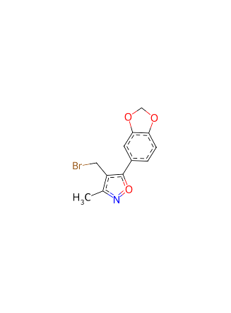 Cc1noc(-c2ccc3c(c2)OCO3)c1CBr